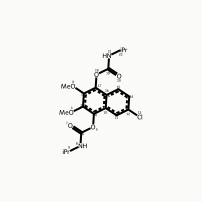 COc1c(OC)c(OC(=O)NC(C)C)c2cc(Cl)ccc2c1OC(=O)NC(C)C